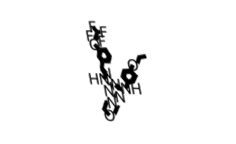 CCCOc1ccc(Nc2nc(N/N=C/c3cccc(OC(F)(F)C(F)F)c3)nc(N3CCOCC3)n2)cc1